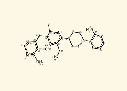 Cc1nc(N2CCN(c3ccccc3N)CC2)c(CO)nc1Sc1ccnc(N)c1Cl